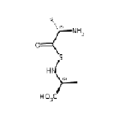 C[C@H](N)C(=O)SN[C@@H](C)C(=O)O